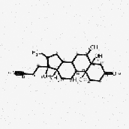 CC1CC2C3CC(C)[C@@](O)(CCC#N)[C@@]3(C)CCC2[C@@]2(C)CCC(=O)C[C@@]12O